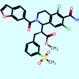 [CH2]OC(=O)[C@@H](Cc1cccc(S(C)(=O)=O)c1)C1c2cc(Cl)c(C(N)=O)c(Cl)c2CCN1C(=O)c1ccc2ccoc2c1